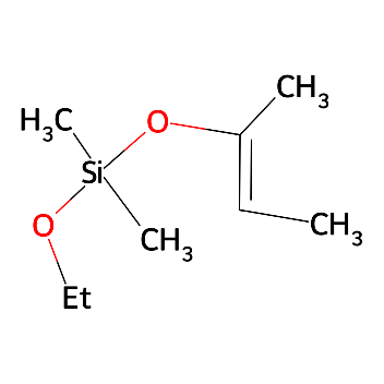 CC=C(C)O[Si](C)(C)OCC